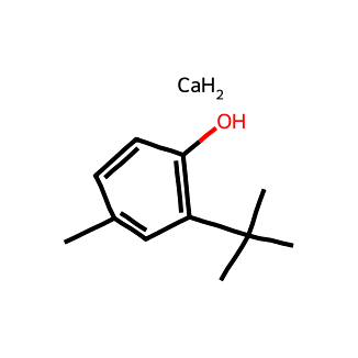 Cc1ccc(O)c(C(C)(C)C)c1.[CaH2]